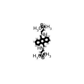 C[N+](C)([O-])CCNCc1c2ccccc2c(CNCC[N+](C)(C)[O-])c2ccccc12